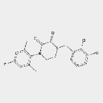 Cc1cc(F)cc(C)c1N1CCN(Cc2cccc(Cl)c2Cl)C(=O)C1=O